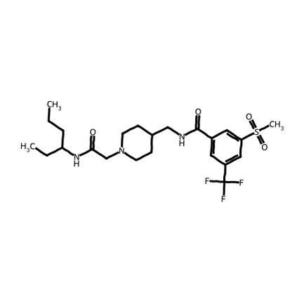 CCCC(CC)NC(=O)CN1CCC(CNC(=O)c2cc(C(F)(F)F)cc(S(C)(=O)=O)c2)CC1